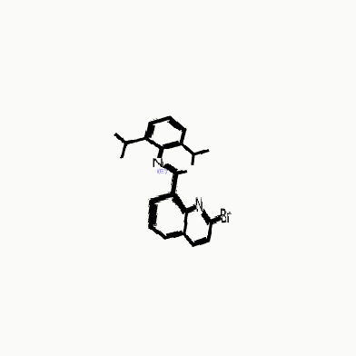 C/C(=N\c1c(C(C)C)cccc1C(C)C)c1cccc2ccc(Br)nc12